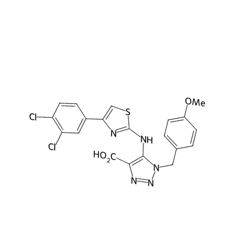 COc1ccc(Cn2nnc(C(=O)O)c2Nc2nc(-c3ccc(Cl)c(Cl)c3)cs2)cc1